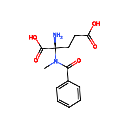 CN(C(=O)c1ccccc1)[C@@](N)(CCC(=O)O)C(=O)O